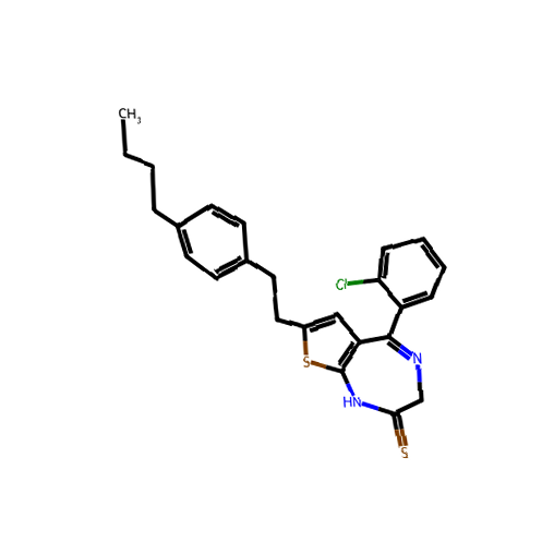 CCCCc1ccc(CCc2cc3c(s2)NC(=S)CN=C3c2ccccc2Cl)cc1